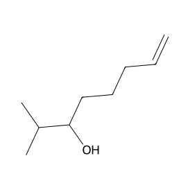 C=CCCCC(O)C(C)C